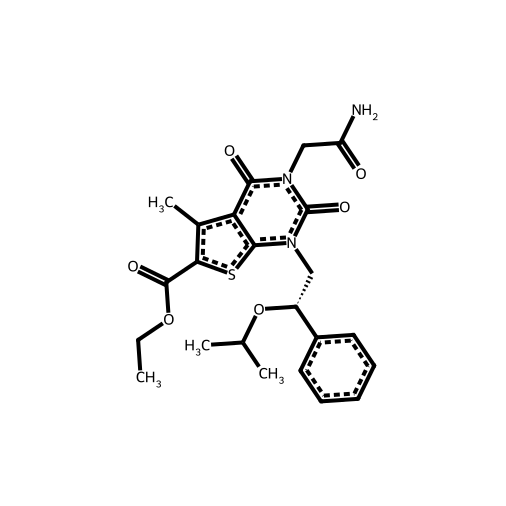 CCOC(=O)c1sc2c(c1C)c(=O)n(CC(N)=O)c(=O)n2C[C@@H](OC(C)C)c1ccccc1